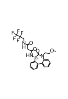 COCCN1C(=O)[C@@H](NC(=O)CC(=O)NCC(F)(F)C(F)(F)F)c2ccccc2-c2ccccc21